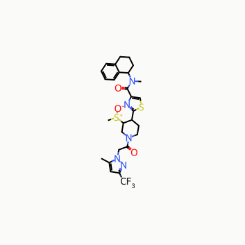 Cc1cc(C(F)(F)F)nn1CC(=O)N1CCC(c2nc(C(=O)N(C)C3CCCc4ccccc43)cs2)C([S+](C)[O-])C1